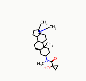 CC1C2CCC3C4CC=C5CC(N(C)C(=O)C6(O)CC6)CCC5(C)C4CCC32CN1C